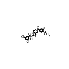 COc1ccc(C(=O)N2CCc3nc(NC(=O)c4cc(Cl)cc(Cl)c4)ncc3C2)cc1F